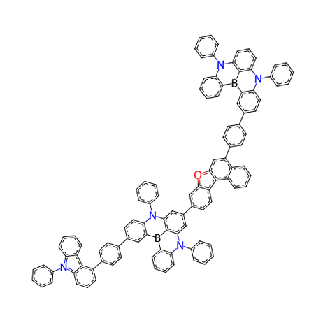 c1ccc(N2c3ccccc3B3c4cc(-c5ccc(-c6cc7oc8cc(-c9cc%10c%11c(c9)N(c9ccccc9)c9ccc(-c%12ccc(-c%13cccc%14c%13c%13ccccc%13n%14-c%13ccccc%13)cc%12)cc9B%11c9ccccc9N%10c9ccccc9)ccc8c7c7ccccc67)cc5)ccc4N(c4ccccc4)c4cccc2c43)cc1